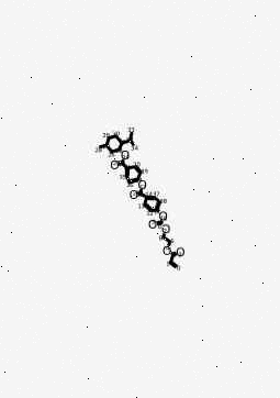 C=CC(=O)OCCOC(=O)Oc1ccc(C(=O)Oc2ccc(C(=O)OC3CC(C)CCC3C(C)C)cc2)cc1